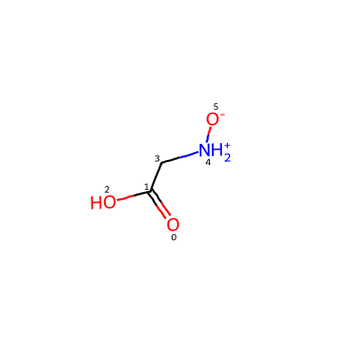 O=C(O)C[NH2+][O-]